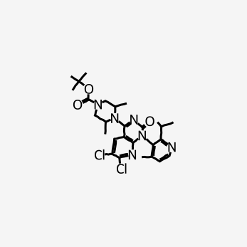 Cc1ccnc(C(C)C)c1-n1c(=O)nc(N2C(C)CN(C(=O)OC(C)(C)C)CC2C)c2cc(Cl)c(Cl)nc21